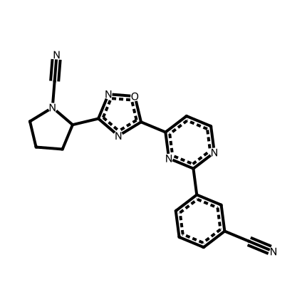 N#Cc1cccc(-c2nccc(-c3nc(C4CCCN4C#N)no3)n2)c1